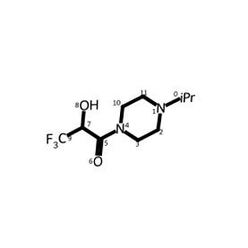 CC(C)N1CCN(C(=O)C(O)C(F)(F)F)CC1